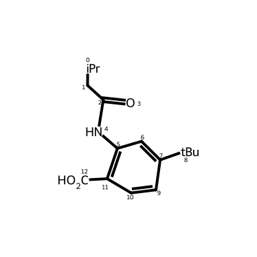 CC(C)CC(=O)Nc1cc(C(C)(C)C)ccc1C(=O)O